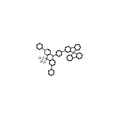 CC1(C)C2=C(C=CC(c3ccccc3)C2)N(c2ccc(-c3ccc4c(c3)C3(c5ccccc5-c5ccccc53)c3ccccc3-4)cc2)c2ccc(-c3ccccc3)cc21